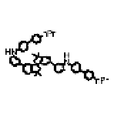 CCCc1ccc(-c2ccc(Nc3cccc(-c4ccc5c(c4)C4(CC5(C)C)CC(C)(C)c5ccc(-c6cccc(Nc7ccc(-c8ccc(CCC)cc8)cc7)c6)cc54)c3)cc2)cc1